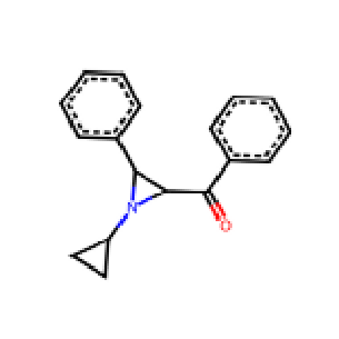 O=C(c1ccccc1)C1C(c2ccccc2)N1C1CC1